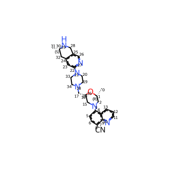 C[C@@H]1CN(c2ccc(C#N)c3ncccc23)C[C@H](CN2CCN(c3cc4c(cn3)CN[C@@H](C)C4)CC2)O1